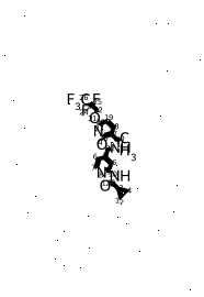 CC(NC(=O)c1ccnc(NC(=O)C2CC2)c1)c1ccc(OCC(F)(F)C(F)(F)F)nc1